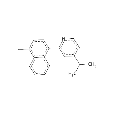 CC(C)c1cc(-c2ccc(F)c3ccccc23)ncn1